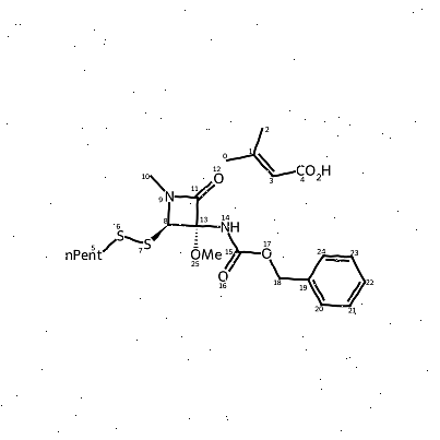 CC(C)=CC(=O)O.CCCCCSS[C@H]1N(C)C(=O)[C@]1(NC(=O)OCc1ccccc1)OC